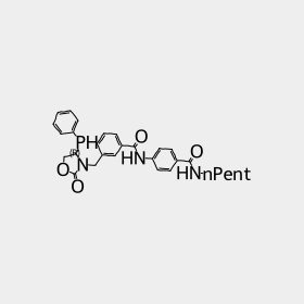 CCCCCNC(=O)c1ccc(NC(=O)c2cccc(CN3C(=O)OC[C@H]3Pc3ccccc3)c2)cc1